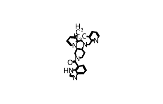 Cc1cccnc1CN(Cc1ncccc1C)C1CCN(C(=O)c2cccc3nc[nH]c23)CC1